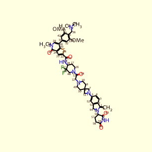 C=C1c2ccc(N3CC4(CCN(CC(=O)N5CCC(NC(=O)c6cc7c(=O)n(C)cc(-c8cc(OC)c(CN(C)C)c(OC)c8)c7s6)C(F)(F)C5)CC4)C3)cc2CN1C1CCC(=O)NC1=O